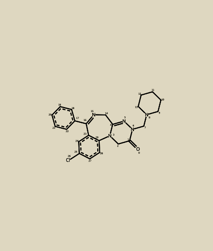 O=C1CN2C(=NN1CN1CCCCC1)CN=C(c1ccccc1)c1cc(Cl)ccc12